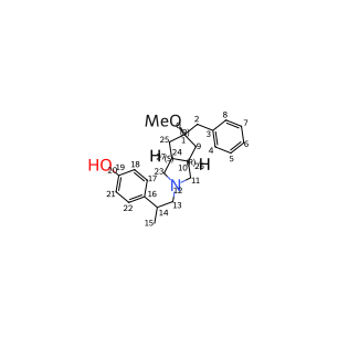 CO[C@@]1(Cc2ccccc2)C[C@H]2CN(CC(C)c3ccc(O)cc3)C[C@H]2C1